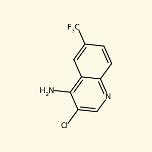 Nc1c(Cl)cnc2ccc(C(F)(F)F)cc12